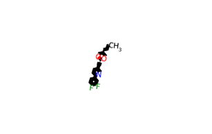 CCCC[C@H]1CO[C@H](C#Cc2ccc(-c3ccc(F)c(F)c3)nc2)OC1